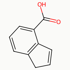 O=C(O)c1cccc2c1C=CC2